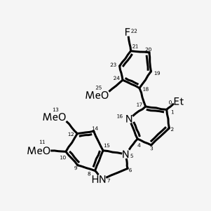 CCc1ccc(N2CNc3cc(OC)c(OC)cc32)nc1-c1ccc(F)cc1OC